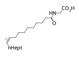 CCCCCCC/C=C\CCCCCCCCC(=O)NCC(=O)O